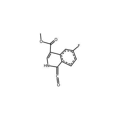 COC(=O)C1=CNC(=C=O)c2ccc(F)cc21